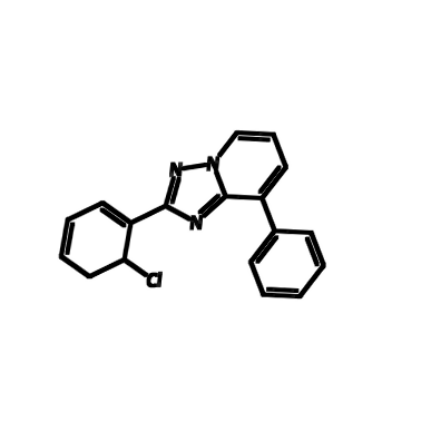 ClC1CC=CC=C1c1nc2c(-c3ccccc3)cccn2n1